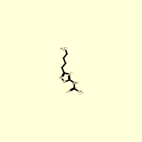 CCCCCc1noc(NC(C)=O)n1